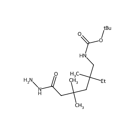 CCC(C)(CNC(=O)OC(C)(C)C)CC(C)(C)CC(=O)NN